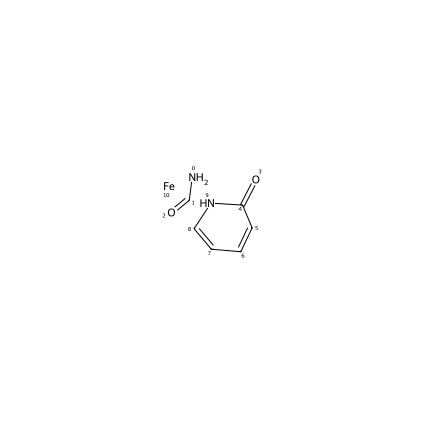 NC=O.O=c1cccc[nH]1.[Fe]